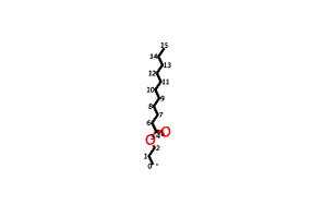 [CH2]CCOC(=O)CCCCCCCCCC